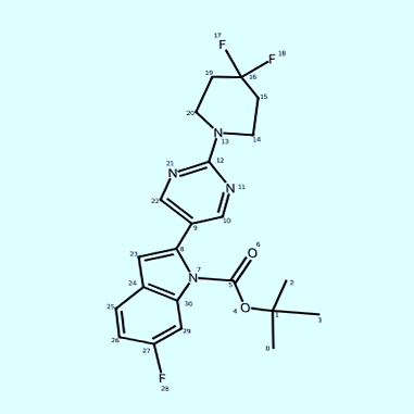 CC(C)(C)OC(=O)n1c(-c2cnc(N3CCC(F)(F)CC3)nc2)cc2ccc(F)cc21